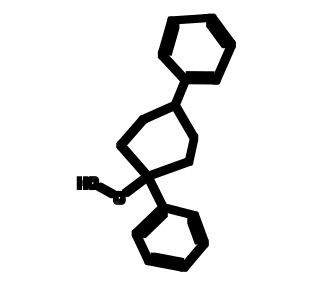 OOC1(c2ccccc2)CCC(c2ccccc2)CC1